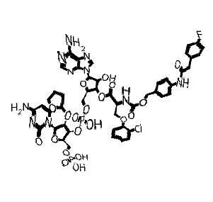 Nc1ccn([C@@H]2O[C@H](COP(=O)(O)O)[C@@H](OP(=O)(O)OC[C@H]3O[C@@H](n4cnc5c(N)ncnc54)C(O)C3OC(=O)[C@H](COc3ccccc3Cl)NC(=O)OCc3ccc(NC(=O)Cc4ccc(F)cc4)cc3)[C@H]2OC2CCCO2)c(=O)n1